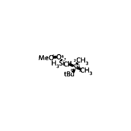 CC(C)(C)[Si](C)(C)Cl.COO[SiH3]